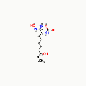 CCC(O)CCCCC[C@H](NC(=O)O)C(=N)NO